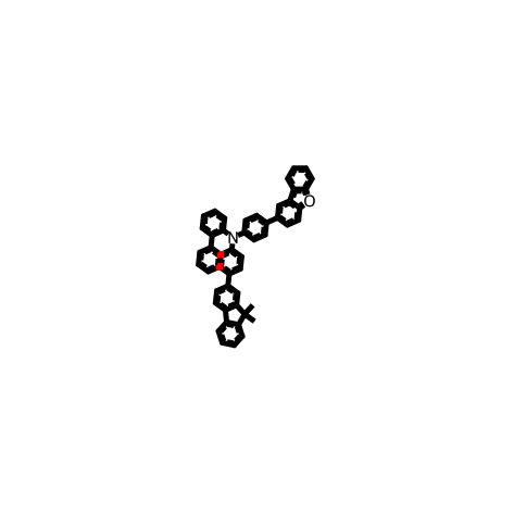 CC1(C)c2ccccc2-c2ccc(-c3ccc(N(c4ccc(-c5ccc6oc7ccccc7c6c5)cc4)c4ccccc4-c4ccccc4)cc3)cc21